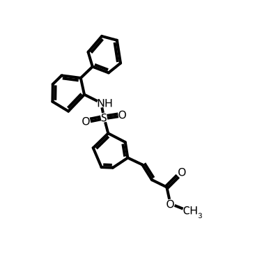 COC(=O)/C=C/c1cccc(S(=O)(=O)Nc2ccccc2-c2ccccc2)c1